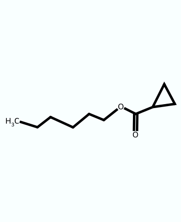 CCCCCCOC(=O)C1CC1